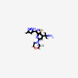 Cc1cc(-c2nsc3c(C(C)(C)N)cc(N4CCOC[C@H]4C)nc23)[nH]n1